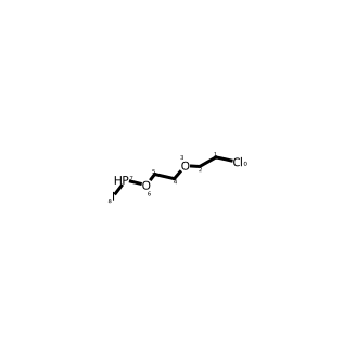 ClCCOCCOPI